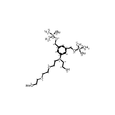 COCCOCCOCCN(CCS)c1cc(CO[Si](C)(C)C(C)(C)C)cc(CO[Si](C)(C)C(C)(C)C)c1